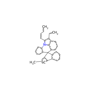 C=C/C=C\c1c(C=C)c2cccc3c2n1-c1ccccc1C31c2ccccc2-c2ccc(C)cc21